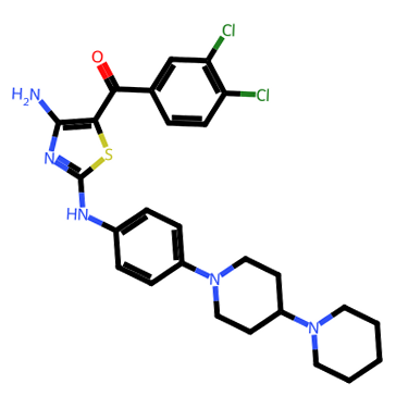 Nc1nc(Nc2ccc(N3CCC(N4CCCCC4)CC3)cc2)sc1C(=O)c1ccc(Cl)c(Cl)c1